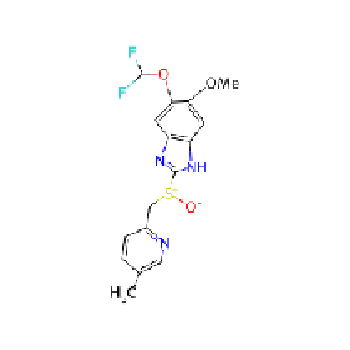 COc1cc2[nH]c([S+]([O-])Cc3ccc(C)cn3)nc2cc1OC(F)F